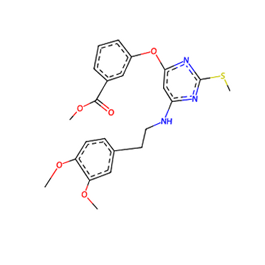 COC(=O)c1cccc(Oc2cc(NCCc3ccc(OC)c(OC)c3)nc(SC)n2)c1